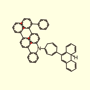 C1=CC2=CC(C3=CC=C(N(c4ccc(-c5ccccc5-c5ccccc5)cc4)c4ccccc4-c4ccc(-c5ccccc5)cc4)CC=C3)=C3C=CC=C[C@@H]3C2C=C1